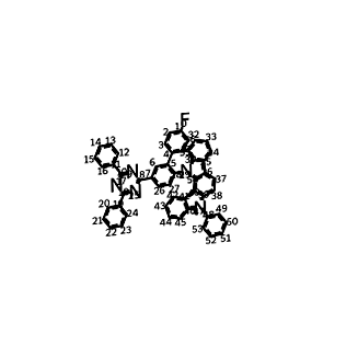 Fc1ccc(-c2cc(-c3nc(-c4ccccc4)nc(-c4ccccc4)n3)ccc2-n2c3ccccc3c3ccc4c(c5ccccc5n4-c4ccccc4)c32)cc1